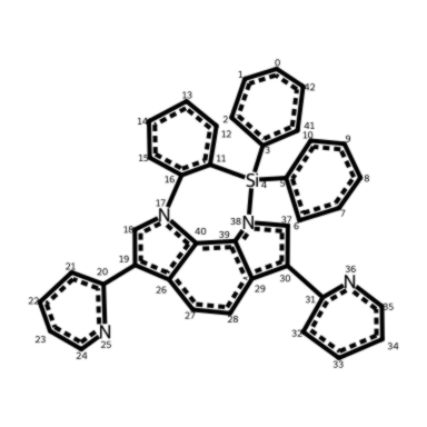 c1ccc([Si]2(c3ccccc3)c3ccccc3-n3cc(-c4ccccn4)c4ccc5c(-c6ccccn6)cn2c5c43)cc1